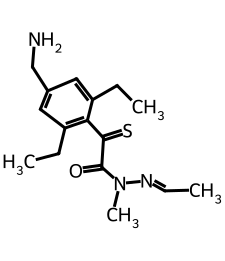 CC=NN(C)C(=O)C(=S)c1c(CC)cc(CN)cc1CC